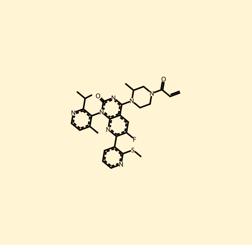 C=CC(=O)N1CCN(c2nc(=O)n(-c3c(C)ccnc3C(C)C)c3nc(-c4cccnc4SC)c(F)cc23)C(C)C1